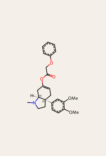 COc1ccc([C@@]23CC=C(OC(=O)COc4ccccc4)C[C@@H]2N(C)CC3)cc1OC